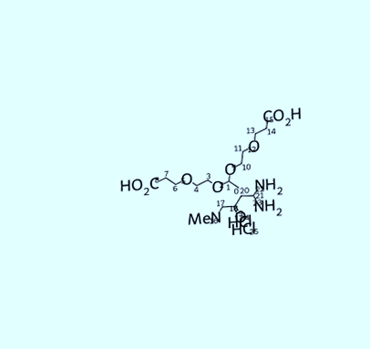 CC(OCCOCCC(=O)O)OCCOCCC(=O)O.CNCC(=O)CC(N)N.Cl.Cl